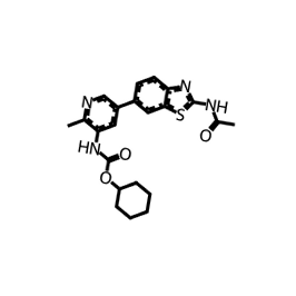 CC(=O)Nc1nc2ccc(-c3cnc(C)c(NC(=O)OC4CCCCC4)c3)cc2s1